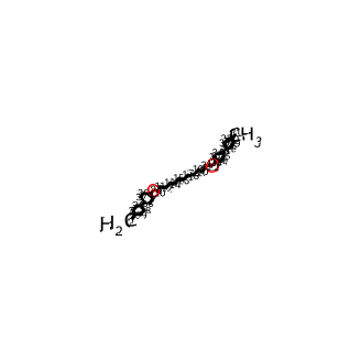 C=C1CCC(C2CCC(OCCCCCCCCCCCCOc3ccc(-c4ccc(C)cc4)cc3)CC2)CC1